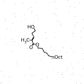 CCCCCCCCCCCCCOC(=O)C(C)=CCCO